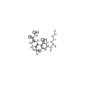 CCCCCC(C)C(C)c1cc(O)c2c(c1)OC(C)(C)C1=C2CN(C(=O)CO)CC1